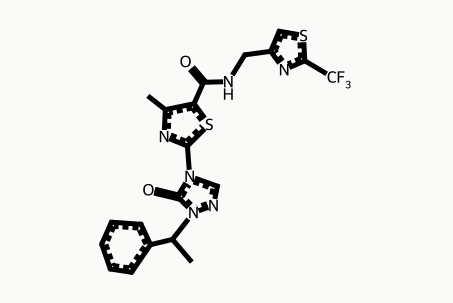 Cc1nc(-n2cnn(C(C)c3ccccc3)c2=O)sc1C(=O)NCc1csc(C(F)(F)F)n1